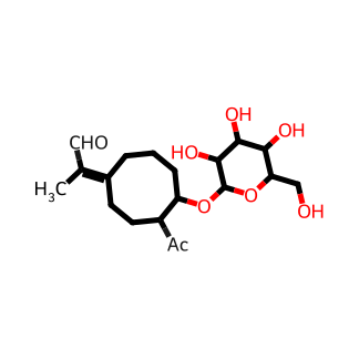 CC(=O)C1CCC(=C(C)C=O)CCCC1OC1OC(CO)C(O)C(O)C1O